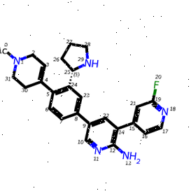 CC(=O)N1CC=C(c2ccc(-c3cnc(N)c(-c4ccnc(F)c4)c3)cc2[C@@H]2CCCN2)CC1